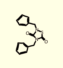 O=c1sn(Cc2ccccc2)c(=O)n1Cc1ccccc1